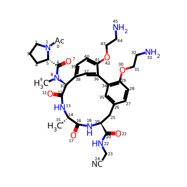 CC(=O)N1CCC[C@H]1C(=O)N(C)[C@@H]1C(=O)N[C@@H](C)C(=O)N[C@H](C(=O)NCC#N)Cc2ccc(OCCN)c(c2)-c2cc1ccc2OCCN